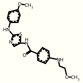 COCCNc1ccc(C(=O)Nc2cnc(Nc3ccc(OC)cc3)s2)cc1